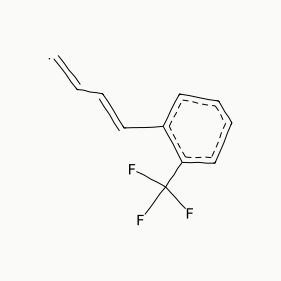 [CH]=CC=Cc1ccccc1C(F)(F)F